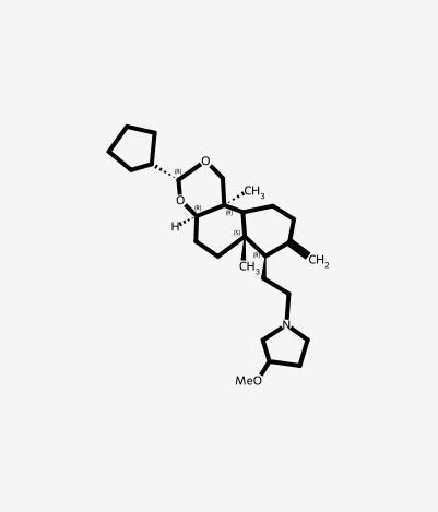 C=C1CCC2[C@]3(C)CO[C@@H](C4CCCC4)O[C@@H]3CC[C@@]2(C)[C@@H]1CCN1CCC(OC)C1